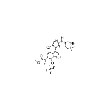 COC(=O)Nc1ccc2c(-c3nc(N[C@H]4CCC(C)(C)NC4)ncc3Cl)c[nH]c2c1OCC(F)(F)F